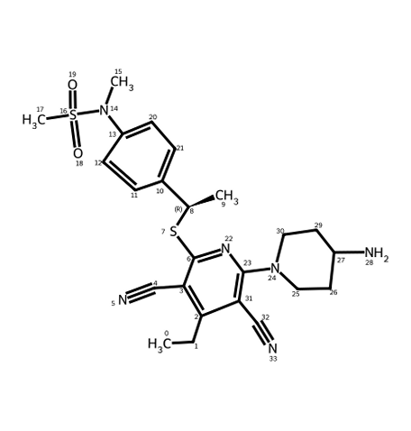 CCc1c(C#N)c(S[C@H](C)c2ccc(N(C)S(C)(=O)=O)cc2)nc(N2CCC(N)CC2)c1C#N